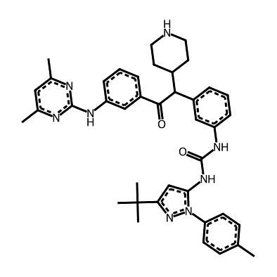 Cc1ccc(-n2nc(C(C)(C)C)cc2NC(=O)Nc2cccc(C(C(=O)c3cccc(Nc4nc(C)cc(C)n4)c3)C3CCNCC3)c2)cc1